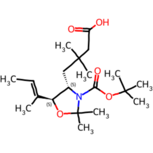 CC=C(C)[C@@H]1OC(C)(C)N(C(=O)OC(C)(C)C)[C@H]1CC(C)(C)CC(=O)O